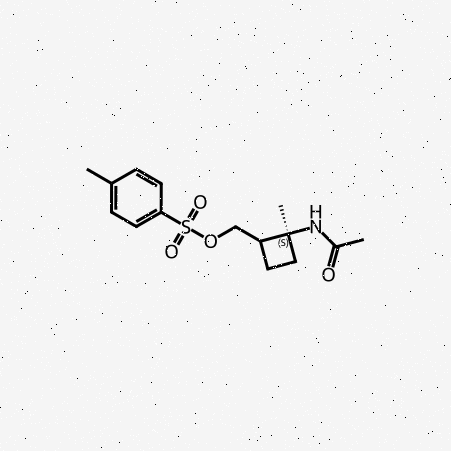 CC(=O)N[C@@]1(C)CCC1COS(=O)(=O)c1ccc(C)cc1